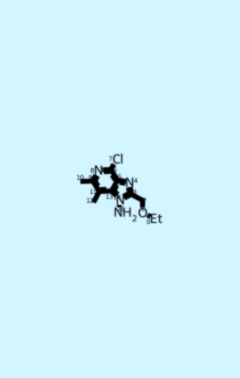 CCOCc1nc2c(Cl)nc(C)c(C)c2n1N